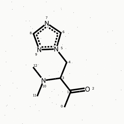 CC(=O)C(Cn1cncn1)N(C)C